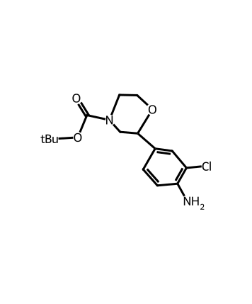 CC(C)(C)OC(=O)N1CCOC(c2ccc(N)c(Cl)c2)C1